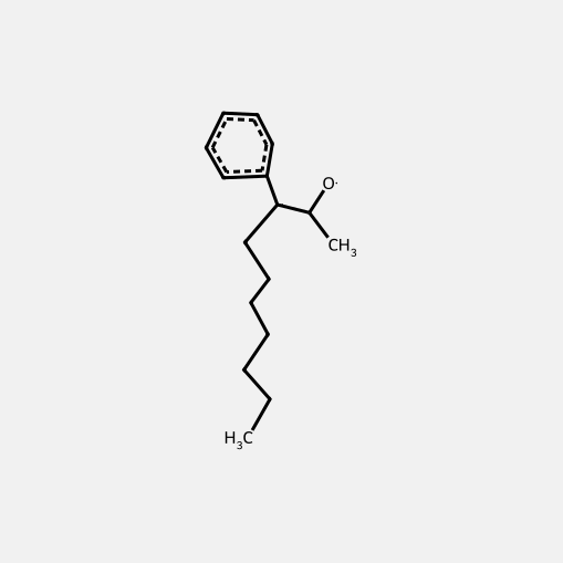 CCCCCCC[C](c1ccccc1)C(C)[O]